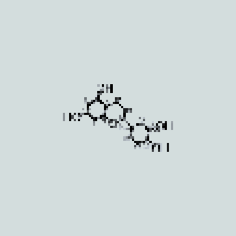 Oc1cc(O)c2c(c1)O[C@H](c1ccc(O)c(O)c1)[CH]C2